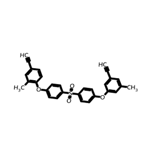 C#Cc1cc(C)cc(Oc2ccc(S(=O)(=O)c3ccc(Oc4ccc(C#C)cc4C)cc3)cc2)c1